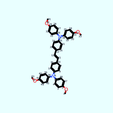 COc1ccc(N(c2ccc(/C=C/c3ccc(N(c4ccc(OC)cc4)c4ccc(OC)cc4)cc3)cc2)c2ccc(OC)cc2)cc1